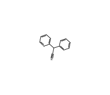 N#CC(c1ccccc1)c1ccccn1